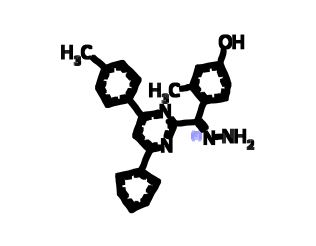 Cc1ccc(-c2cc(-c3ccccc3)nc(/C(=N/N)c3ccc(O)cc3C)n2)cc1